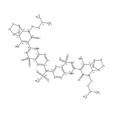 CC(C)CCN1C(=O)C(C2=NS(=O)(=O)c3cc(N(c4ccc5c(c4)S(=O)(=O)N=C(C4=C(O)C6C7CCC(O7)C6N(CCC(C)C)C4=O)N5)S(C)(=O)=O)ccc3N2)=C(O)C2C3CCC(O3)C21